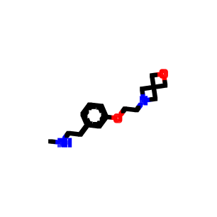 CNCCc1cccc(OCCN2CC3(COC3)C2)c1